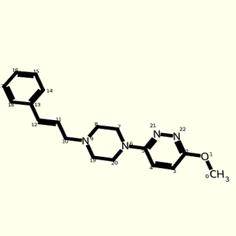 COc1ccc(N2CCN(CC=Cc3ccccc3)CC2)nn1